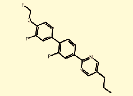 CCCc1cnc(-c2ccc(-c3ccc(OCF)c(F)c3)c(F)c2)nc1